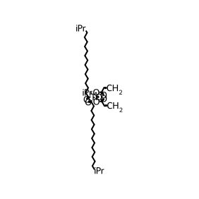 C=CC(=O)[O][Ti](=[O])([O]C(=O)C=C)([C](=O)CCCCCCCCCCCCCCC(C)C)([C](=O)CCCCCCCCCCCCCCC(C)C)[CH](C)C